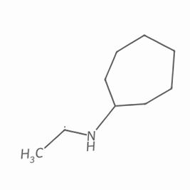 C[CH]NC1CCCCCC1